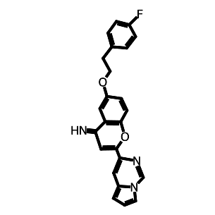 N=c1cc(-c2cc3cccn3cn2)oc2ccc(OCCc3ccc(F)cc3)cc12